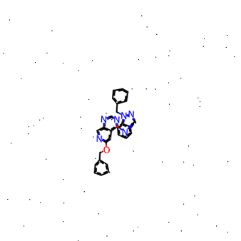 c1ccc(COc2cc3c(-n4c5ccc6c(c5)c4nn6Cc4ccccc4)ncnc3cn2)cc1